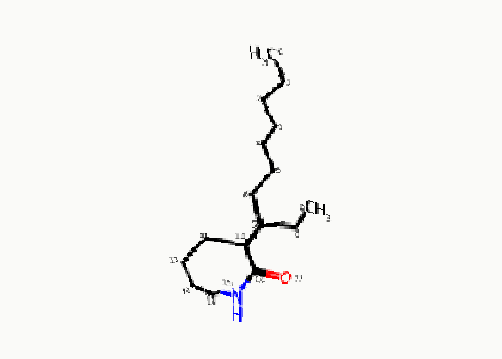 CCCCCCCC(CC)C1CCCCNC1=O